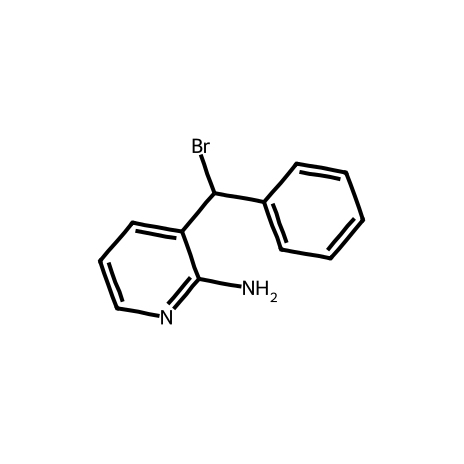 Nc1ncccc1C(Br)c1ccccc1